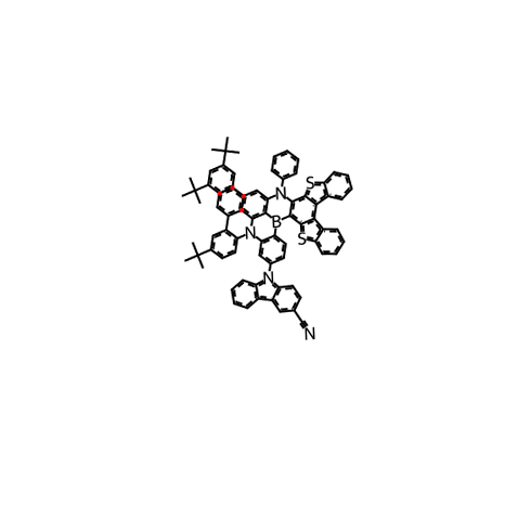 CC(C)(C)c1cc(-c2cc3c4c(c2)N(c2ccccc2)c2c(c5sc6ccccc6c5c5c2sc2ccccc25)B4c2ccc(-n4c5ccccc5c5cc(C#N)ccc54)cc2N3c2ccc(C(C)(C)C)cc2-c2ccccc2)cc(C(C)(C)C)c1